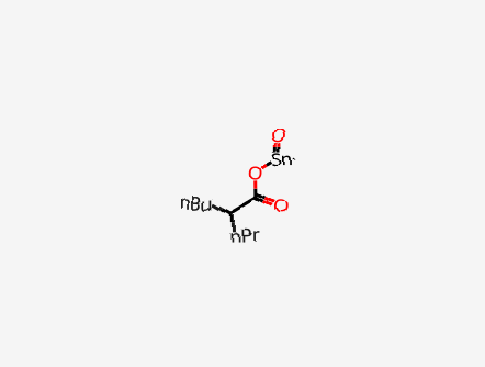 CCCCC(CCC)C(=O)[O][Sn]=[O]